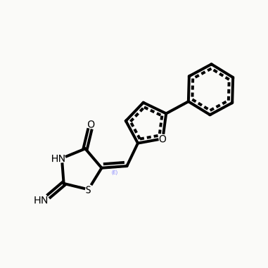 N=C1NC(=O)/C(=C\c2ccc(-c3ccccc3)o2)S1